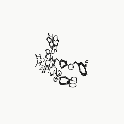 CC(C)CN(C[C@H]1OC(C)(C)N(C(=O)O[C@H]2CO[C@H]3OCC[C@H]32)[C@H]1Cc1ccc(OCc2cccc(F)c2)cc1)S(=O)(=O)c1ccc2c(c1)OCO2